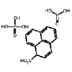 O=P(O)(O)O.O=S(=O)(O)C1C=Cc2cccc3cccc1c23.O=[PH](O)O